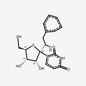 O=c1ccn([C@]2(C(O)Cc3ccccc3)O[C@H](CO)[C@@H](O)[C@H]2O)c(=O)[nH]1